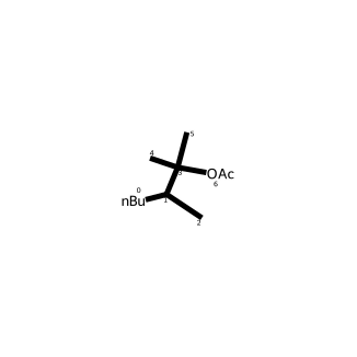 CCCCC(C)C(C)(C)OC(C)=O